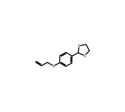 C=CCSc1ccc(C2SCCS2)cc1